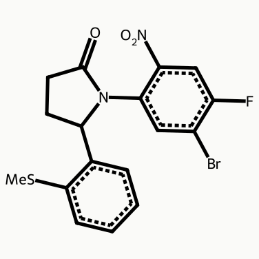 CSc1ccccc1C1CCC(=O)N1c1cc(Br)c(F)cc1[N+](=O)[O-]